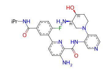 CC(C)NC(=O)c1ccc(F)c(-c2ccc(N)c(C(=O)Nc3cnccc3N3CC[C@H](O)[C@H](N)C3)n2)c1